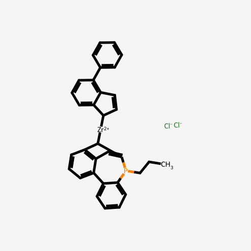 CCCP1C2=Cc3c(cccc3[CH]2[Zr+2][CH]2C=Cc3c(-c4ccccc4)cccc32)-c2ccccc21.[Cl-].[Cl-]